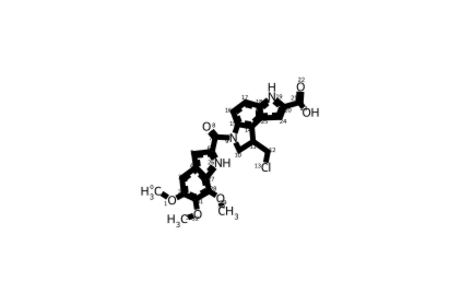 COc1cc2cc(C(=O)N3CC(CCl)c4c3ccc3[nH]c(C(=O)O)cc43)[nH]c2c(OC)c1OC